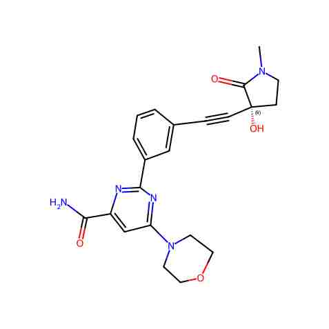 CN1CC[C@@](O)(C#Cc2cccc(-c3nc(C(N)=O)cc(N4CCOCC4)n3)c2)C1=O